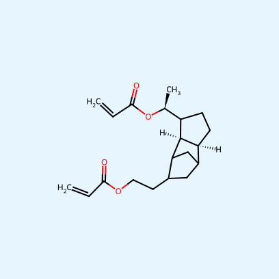 C=CC(=O)OCCC1CC2CC1[C@H]1C([C@H](C)OC(=O)C=C)CC[C@@H]21